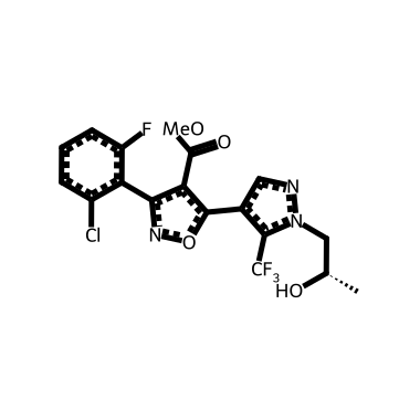 COC(=O)c1c(-c2c(F)cccc2Cl)noc1-c1cnn(C[C@H](C)O)c1C(F)(F)F